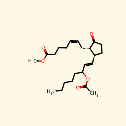 CCCCCC(C=C[C@@H]1CCC(=O)[C@H]1C/C=C\CCCC(=O)OC)OC(C)=O